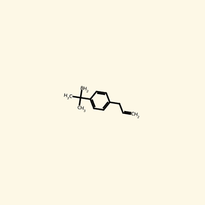 BC(C)(C)c1ccc(CC=C)cc1